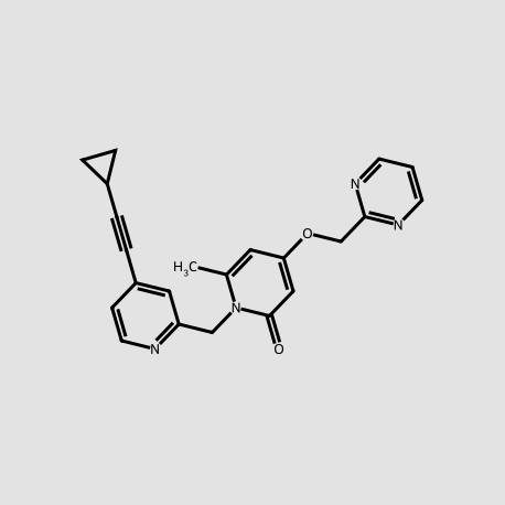 Cc1cc(OCc2ncccn2)cc(=O)n1Cc1cc(C#CC2CC2)ccn1